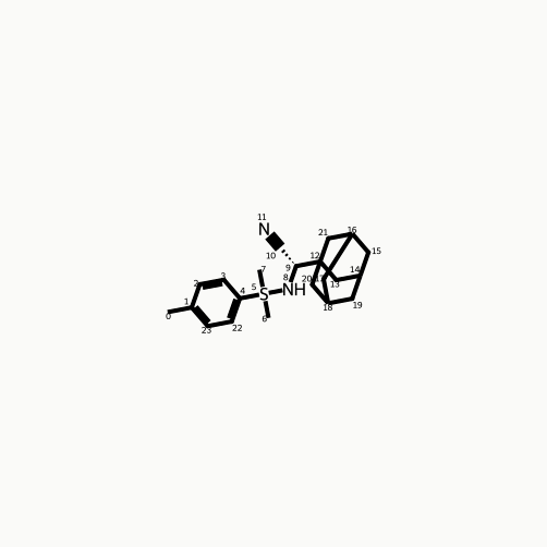 Cc1ccc(S(C)(C)N[C@H](C#N)C23CC4CC(CC(C4)C2)C3)cc1